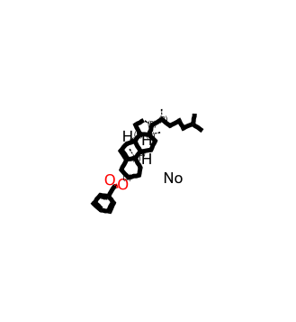 CC(C)CCC[C@@H](C)[C@H]1CC[C@H]2[C@@H]3CC=C4C[C@@H](OC(=O)c5ccccc5)CC[C@]4(C)[C@H]3CC[C@]12C.[No]